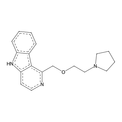 c1ccc2c(c1)[nH]c1ccnc(COCCN3CCCC3)c12